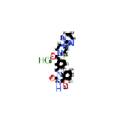 Cl.O=C(c1cc(Cn2c(=O)[nH]c(=O)c3ccccc32)ccc1F)N1CCN(c2ncccn2)CC1